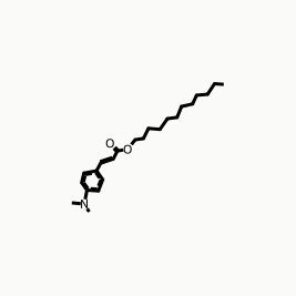 CCCCCCCCCCCCOC(=O)C=Cc1ccc(N(C)C)cc1